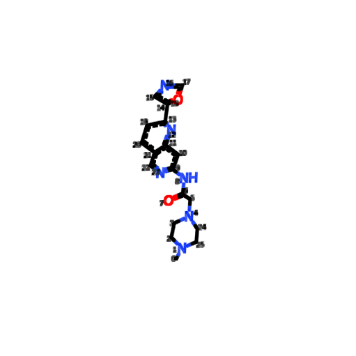 CN1CCN(CC(=O)Nc2cc3nc(-c4cnco4)ccc3cn2)CC1